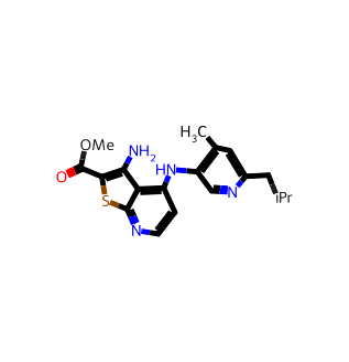 COC(=O)c1sc2nccc(Nc3cnc(CC(C)C)cc3C)c2c1N